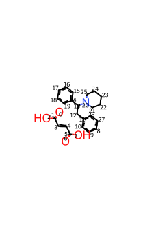 O=C(O)C=CC(=O)O.c1ccc(CC(c2ccccc2)N2CCCCC2)cc1